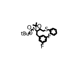 CC(C)(C)OC(=O)N1C(Cc2cc(F)cc(F)c2)C(CSc2ccccc2)OC1(C)C